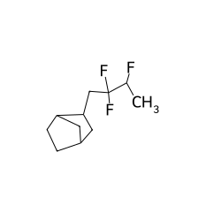 CC(F)C(F)(F)CC1CC2CCC1C2